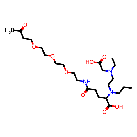 BC(=O)CCOCCOCCOCCNC(=O)CCC(C(=O)O)N(CCC)CCN(CC)CC(=O)O